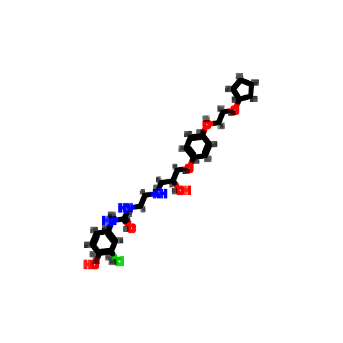 O=C(NCCNCC(O)COc1ccc(OCCOC2CCCC2)cc1)Nc1ccc(O)c(Cl)c1